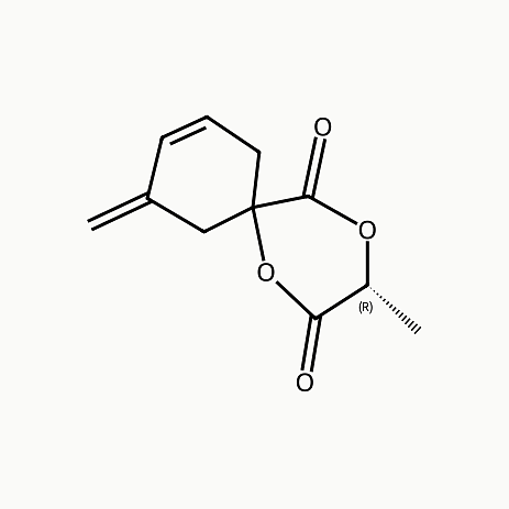 C=C1C=CCC2(C1)OC(=O)[C@@H](C)OC2=O